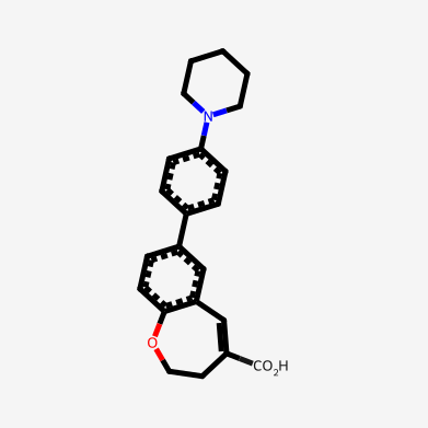 O=C(O)C1=Cc2cc(-c3ccc(N4CCCCC4)cc3)ccc2OCC1